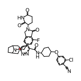 N#Cc1ccc(OC2CCC(NC(=O)c3ccc(N4C5CCC4CN(Cc4cc(F)c6c(c4)CN(C4CCC(=O)NC4=O)C6=O)C5)nn3)CC2)cc1Cl